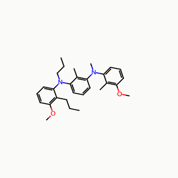 CCCc1c(OC)cccc1N(CCC)c1cccc(N(C)c2cccc(OC)c2C)c1C